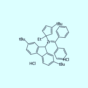 CC[C]1([Zr](=[C](c2ccccc2)c2ccccc2)[CH]2c3cc(C(C)(C)C)ccc3-c3ccc(C(C)(C)C)cc32)C=CC(C(C)(C)C)=C1.Cl.Cl